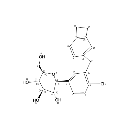 OC[C@H]1O[C@@H](c2ccc(Cl)c(Cc3ccc4c(c3)CC4)c2)[C@H](O)[C@@H](O)[C@@H]1O